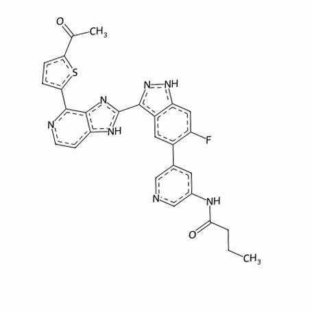 CCCC(=O)Nc1cncc(-c2cc3c(-c4nc5c(-c6ccc(C(C)=O)s6)nccc5[nH]4)n[nH]c3cc2F)c1